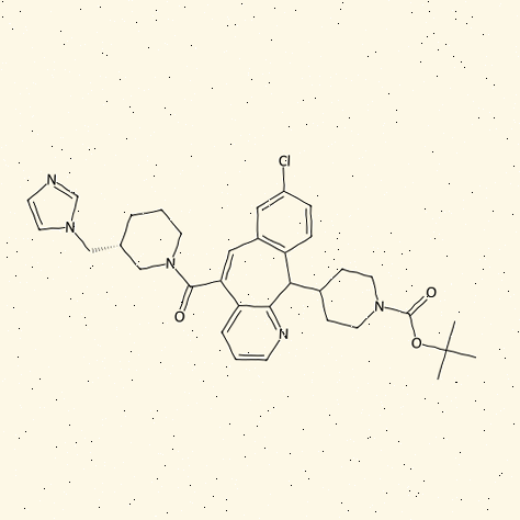 CC(C)(C)OC(=O)N1CCC(C2c3ccc(Cl)cc3C=C(C(=O)N3CCC[C@@H](Cn4ccnc4)C3)c3cccnc32)CC1